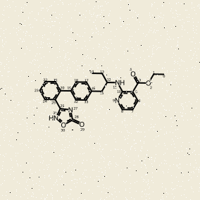 CCOC(=O)c1cccnc1NC(CC)Cc1ccc(-c2ccccc2-c2nc(=O)o[nH]2)cc1